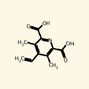 C=Cc1c(C)c(C(=O)O)nc(C(=O)O)c1C